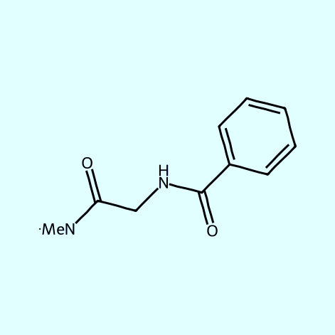 C[N]C(=O)CNC(=O)c1ccccc1